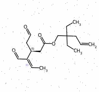 C=CCC(CC)(CC)COC(=O)C[C@H](CC=O)/C(C=O)=C\C